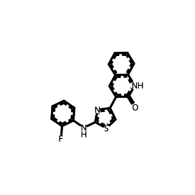 O=c1[nH]c2ccccc2cc1-c1csc(Nc2ccccc2F)n1